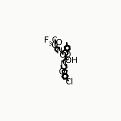 Cc1ccc(OC[C@@H](O)CN2CCC3(CC2)Cc2cc(Cl)ccc2O3)c(C(=O)N2CC[C@H](OC(=O)C(F)(F)F)C2)c1